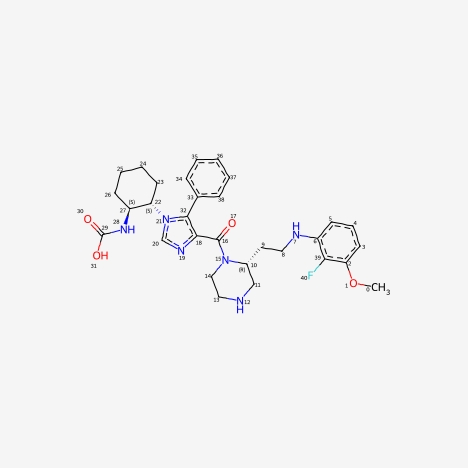 COc1cccc(NCC[C@@H]2CNCCN2C(=O)c2ncn([C@H]3CCCC[C@@H]3NC(=O)O)c2-c2ccccc2)c1F